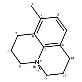 Cc1ccc2c3c1CCC[N+]3(C)CCC2